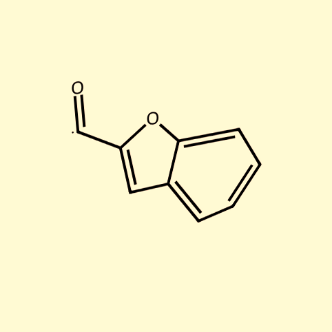 O=[C]c1cc2ccccc2o1